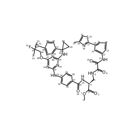 COC(=O)[C@H](CNC(=O)C(=O)Nc1cccc(-c2nc(C)cs2)c1)NC(=O)c1ccc(Nc2nc(NC3(c4ccc(Cl)cc4)CC3)nc(OCC(F)(F)F)n2)cc1